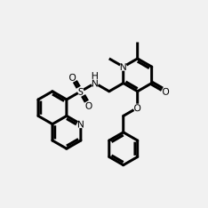 Cc1cc(=O)c(OCc2ccccc2)c(CNS(=O)(=O)c2cccc3cccnc23)n1C